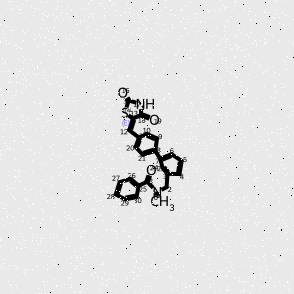 CN(Cc1cccc(-c2ccc(/C=C3/SC(=O)NC3=O)cc2)c1)C(=O)c1ccccc1